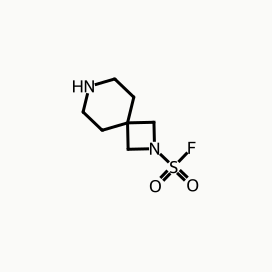 O=S(=O)(F)N1CC2(CCNCC2)C1